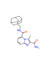 Cc1c(C(N)=O)nc2cccc(C(=O)NCC34CC5CC(CC(C5)C3)C4)n12